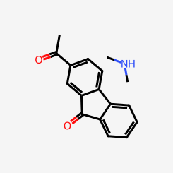 CC(=O)c1ccc2c(c1)C(=O)c1ccccc1-2.CNC